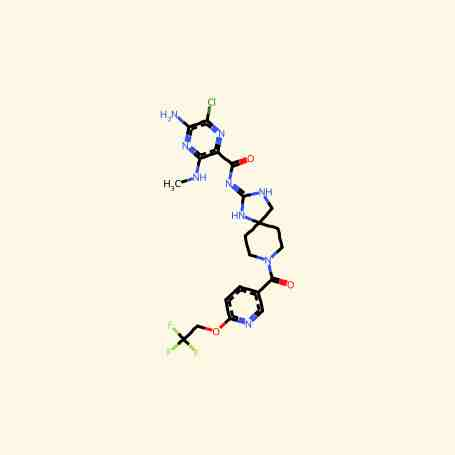 CNc1nc(N)c(Cl)nc1C(=O)/N=C1\NCC2(CCN(C(=O)c3ccc(OCC(F)(F)F)nc3)CC2)N1